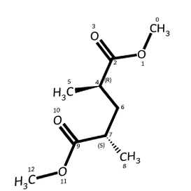 COC(=O)[C@H](C)C[C@H](C)C(=O)OC